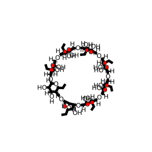 CCC1O[C@H]2O[C@@H]3C(CC)O[C@H](O[C@@H]4C(CC)O[C@H](O[C@@H]5C(CC)O[C@H](O[C@@H]6C(CC)O[C@H](O[C@@H]7C(CC)O[C@H](O[C@@H]8C(CC)O[C@H](O[C@@H]9C(CC)O[C@H](O[C@H](C2O)[C@@H]1O)C(O)[C@H]9O)C(O)[C@H]8O)C(O)[C@H]7O)C(O)[C@H]6O)C(O)[C@H]5O)C(O)[C@H]4O)C(O)[C@H]3O